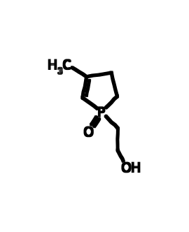 CC1=CP(=O)(CCO)CC1